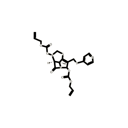 C=CCOC(=O)OC1C(CSc2ccncc2)=C2SCN(OC(=O)OCC=C)[C@@H]3C(=O)N1[C@H]23